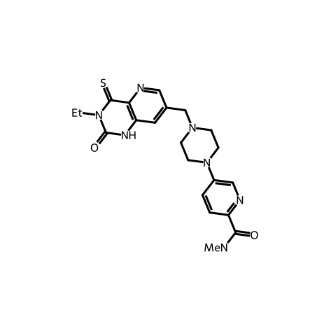 CCn1c(=O)[nH]c2cc(CN3CCN(c4ccc(C(=O)NC)nc4)CC3)cnc2c1=S